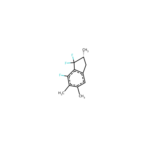 Cc1cc2c(c(F)c1C)C(F)(F)[C@H](C)C2